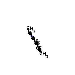 C=CCCC1CCC(/C=C/C2CCC(CCc3ccc(C(F)CCOc4ccc(CC)cc4F)c(F)c3F)CC2)CC1